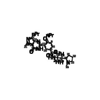 [2H]C([2H])(NS(=O)(=O)c1ccc(OCCC)c(-c2nc3c(CCC)nn(C)c3c(=O)[nH]2)c1)C([2H])([2H])C1CCCN1C